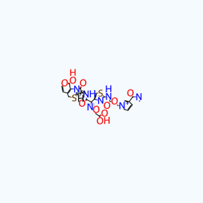 C=CC1=C(C(=O)O)N2C(=O)[C@@H](NC(=O)/C(=N/OCC(=O)O)c3csc(NC(=O)OC[n+]4cccc(C(=O)N(C)C)c4)n3)[C@H]2SC1